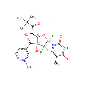 Cc1cn([C@]2(F)O[C@H](C(O)C(=O)C(C)(C)C)[C@](O)(C(=O)c3ccc[n+](C)c3)C2(F)F)c(=O)[nH]c1=O.[I-]